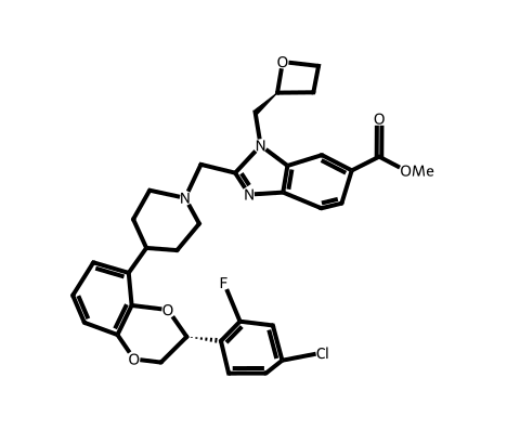 COC(=O)c1ccc2nc(CN3CCC(c4cccc5c4O[C@H](c4ccc(Cl)cc4F)CO5)CC3)n(C[C@@H]3CCO3)c2c1